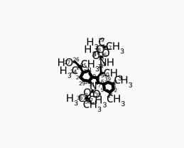 Cc1cc(C)cc(-c2c(C(C)CNC(=O)OC(C)(C)C)c3cc(C(C)(C)CO)ccc3n2C(=O)OC(C)(C)C)c1